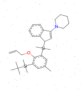 C=CCOc1c([Si](C)(C)C2C=C(N3CCCCC3)c3ccccc32)cc(C)cc1[Si](C)(C)C(C)(C)C